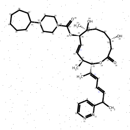 C/C(=C\C=C\C(C)c1cccnn1)[C@H]1OC(=O)C[C@@H](O)CC[C@](C)(O)[C@H](OC(=O)N2CCN(C3CCCCCC3)CC2)/C=C/[C@@H]1C